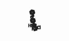 Clc1ccnc2[nH]c(-c3ccc(OCc4ccccc4)cc3)cc12